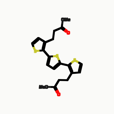 COC(=O)CCc1ccsc1-c1ccc(-c2sccc2CCC(=O)OC)s1